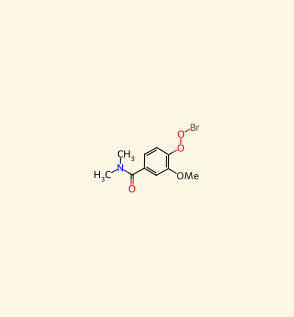 COc1cc(C(=O)N(C)C)ccc1OOBr